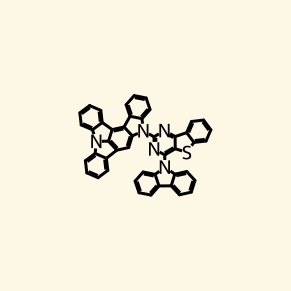 c1ccc2c(c1)sc1c(-n3c4ccccc4c4ccccc43)nc(-n3c4ccccc4c4c5c6ccccc6n6c7ccccc7c(cc43)c56)nc12